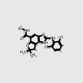 CCNC(=O)c1cc2nc(Nc3c(Cl)cccc3Cl)[nH]c2c2c1OC(C)(C)C2